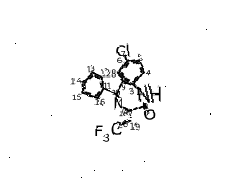 O=C1Nc2ccc(Cl)cc2C(c2ccccc2)=N[C@H]1CC(F)(F)F